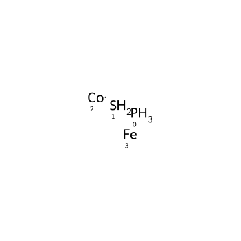 P.S.[Co].[Fe]